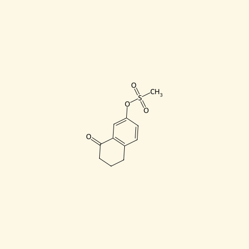 CS(=O)(=O)Oc1ccc2c(c1)C(=O)CCC2